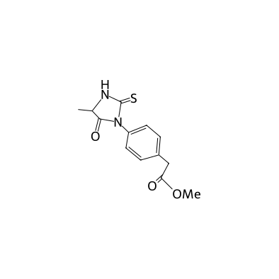 COC(=O)Cc1ccc(N2C(=O)C(C)NC2=S)cc1